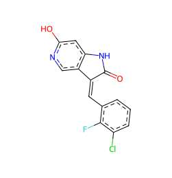 O=C1Nc2cc(O)ncc2/C1=C/c1cccc(Cl)c1F